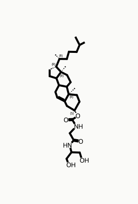 CC(C)CCC[C@@H](C)[C@H]1CCC2C3CC=C4C[C@@H](OC(=O)NCC(=O)NC(CO)CO)CC[C@]4(C)C3CC[C@@]21C